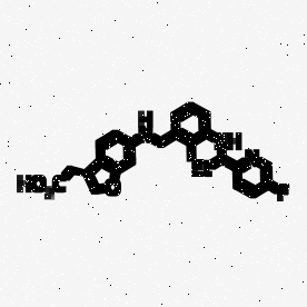 CCC(Nc1cccc(CNc2ccc3c(c2)OC[C@H]3CC(=O)O)c1C)c1ccc(F)cn1